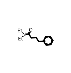 CCN(CC)C(=O)CCCc1ccccc1